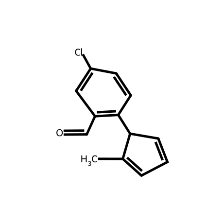 CC1=CC=CC1c1ccc(Cl)cc1C=O